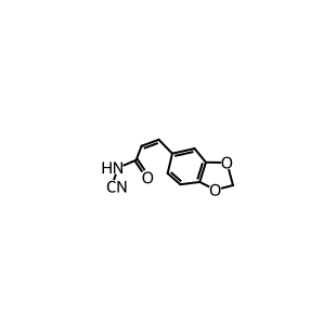 N#CNC(=O)/C=C\c1ccc2c(c1)OCO2